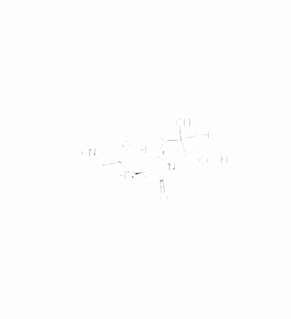 CC1(C)S[C@@H]2[C@H](NC(=O)C[N+](=O)[O-])C(=O)N2[C@H]1C(=O)O